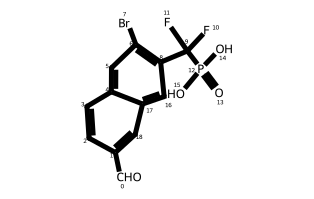 O=Cc1ccc2cc(Br)c(C(F)(F)P(=O)(O)O)cc2c1